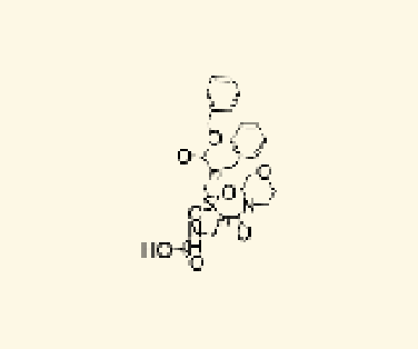 O=C(O)NC[C@H](C(=O)N1CCOCC1)S(=O)(=O)C[C@@H](Cc1ccccc1)C(=O)OCc1ccccc1